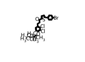 CC(C)(C)OC(=O)C(C)(C)Oc1ccc(CCC(=O)c2ccc(-c3ccc(Br)cc3)s2)c(Cl)c1Cl